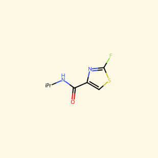 CC(C)NC(=O)c1csc(F)n1